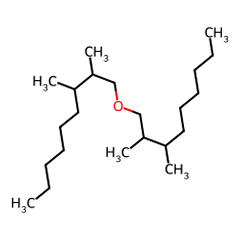 CCCCCCC(C)C(C)COCC(C)C(C)CCCCCC